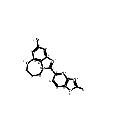 Cc1nc2nc(-c3nc4cc(Br)cc5c4n3CCCO5)ccc2o1